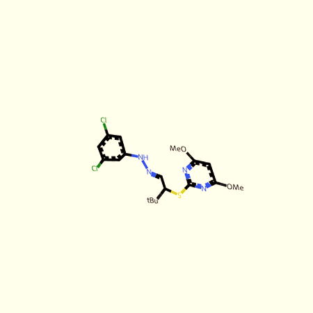 COc1cc(OC)nc(SC(C=NNc2cc(Cl)cc(Cl)c2)C(C)(C)C)n1